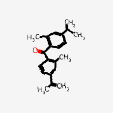 C=C(C)c1ccc(C(=O)c2ccc(C(=C)C)cc2C)c(C)c1